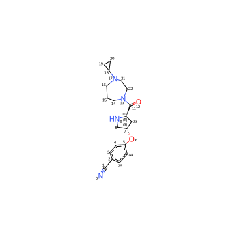 N#Cc1ccc(O[C@@H]2CN[C@@H](C(=O)N3CCCN(C4CC4)CC3)C2)cc1